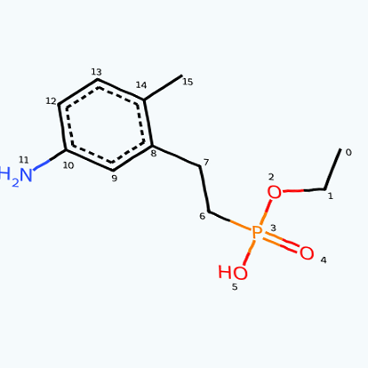 CCOP(=O)(O)CCc1cc(N)ccc1C